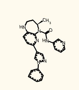 C[C@@H]1CCNc2ccc(-c3cnn(-c4ccccc4)c3)nc2N1C(=O)Nc1cccnc1